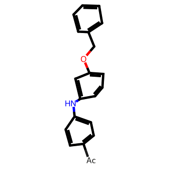 CC(=O)c1ccc(Nc2cccc(OCc3ccccc3)c2)cc1